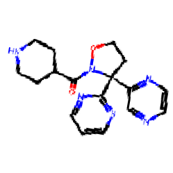 O=C(C1CCNCC1)N1OCC[C@]1(c1cnccn1)c1ncccn1